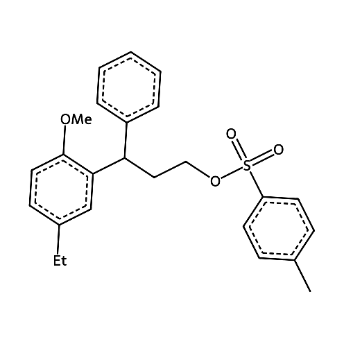 CCc1ccc(OC)c(C(CCOS(=O)(=O)c2ccc(C)cc2)c2ccccc2)c1